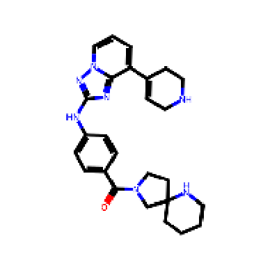 O=C(c1ccc(Nc2nc3c(C4=CCNCC4)cccn3n2)cc1)N1CCC2(CCCCN2)C1